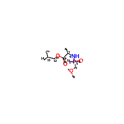 COCP(=O)(I)NC(C)C(=O)OCC(C)C